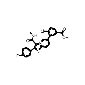 CNC(=O)c1c(-c2ccc(F)cc2)nc2ccc(-c3cc(C(=O)O)ccc3Cl)cn12